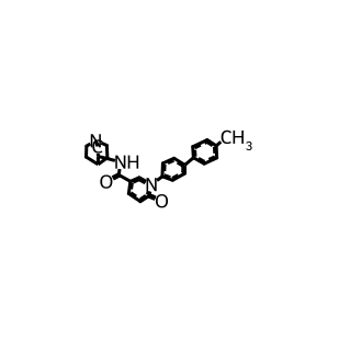 Cc1ccc(-c2ccc(-n3cc(C(=O)NC4CN5CCC4CC5)ccc3=O)cc2)cc1